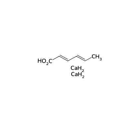 C/C=C/C=C/C(=O)O.[CaH2].[CaH2]